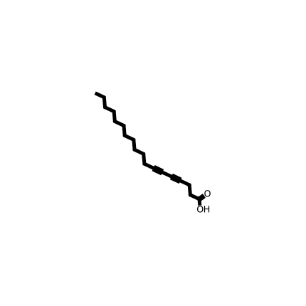 CCCCCCCCCCCC#CC#CCCC(=O)O